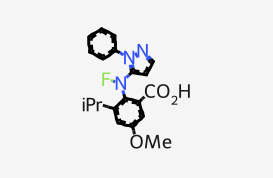 COc1cc(C(=O)O)c(N(F)c2ccnn2-c2ccccc2)c(C(C)C)c1